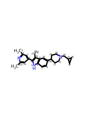 Cc1cc(-c2[nH]c3ccc(C4CCN(CC5CC5)CC4)cc3c2C(C)C)cc(C)n1